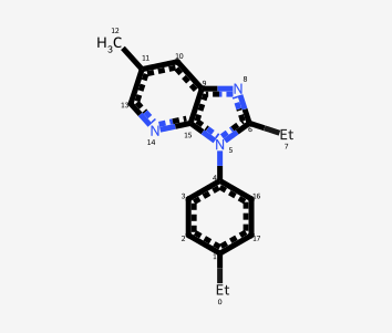 [CH2]Cc1ccc(-n2c(CC)nc3cc(C)cnc32)cc1